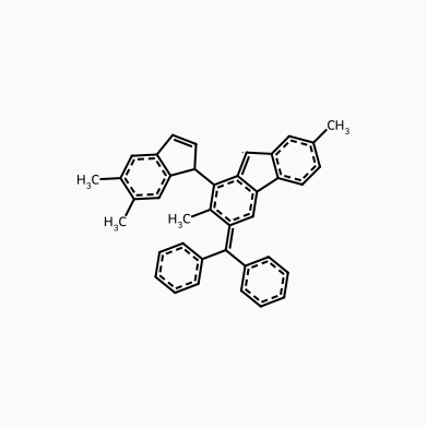 Cc1ccc2c(c1)[C]=c1c-2cc(=C(c2ccccc2)c2ccccc2)c(C)c1C1C=Cc2cc(C)c(C)cc21